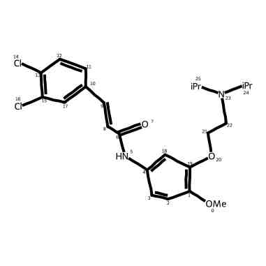 COc1ccc(NC(=O)/C=C/c2ccc(Cl)c(Cl)c2)cc1OCCN(C(C)C)C(C)C